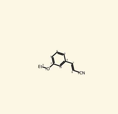 CCOc1cccc(C=CC#N)c1